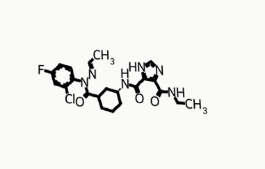 C/C=N/N(C(=O)C1CCC[C@@H](NC(=O)c2[nH]cnc2C(=O)NCC)C1)c1ccc(F)cc1Cl